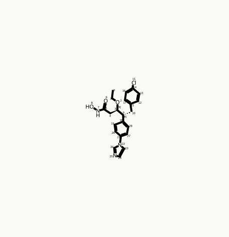 CCO[C@H](CC(=O)NO)[C@H](Cc1ccc(Cl)cc1)c1ccc(-n2ccnc2)cc1